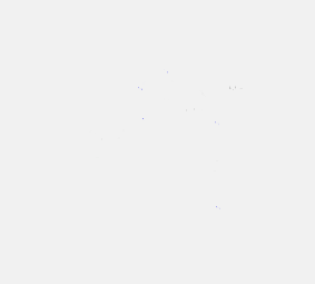 COc1cc2ncnc(Nc3ccc(F)c(Cl)c3)c2cc1NC(=O)/C=C/CN